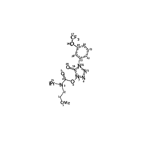 COCCN(C(=O)On1nnn(-c2cccc(OC(F)(F)F)c2)c1=O)C(C)C